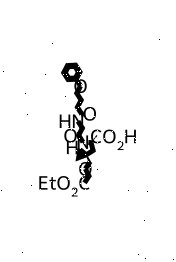 CCOC(=O)COC[C@@]12C[C@@H]1N(C(=O)CNC(=O)CCCOc1ccccc1)[C@H](C(=O)O)C2